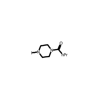 CCCC(=O)N1CCN(I)CC1